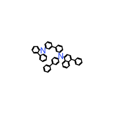 c1ccc(-c2ccc(N(c3cccc(-c4cccc(-n5c6ccccc6c6ccccc65)c4)c3)c3ccc(-c4ccccc4)c4ccccc34)cc2)cc1